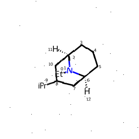 CCN1[C@@H]2CCC[C@H]1CC(C(C)C)C2